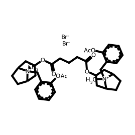 CC(=O)Oc1ccccc1C[N+]1(C)C2CCC1CC(OC(=O)CCCC(=O)OC1CC3CCC(C1)[N+]3(C)Cc1ccccc1OC(C)=O)C2.[Br-].[Br-]